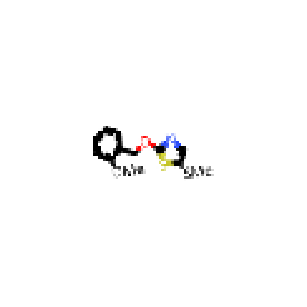 COc1ccccc1COc1ncc(SC)s1